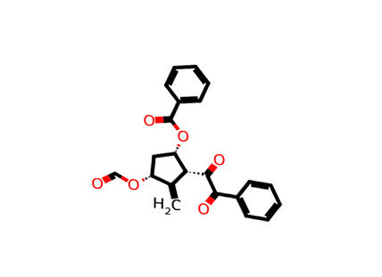 C=C1[C@@H](C(=O)C(=O)c2ccccc2)[C@@H](OC(=O)c2ccccc2)C[C@H]1OC=O